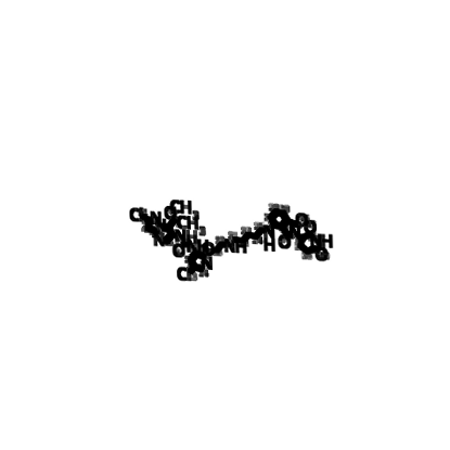 CO[C@@H](C)c1c(NC(=O)Nc2cc(Cl)cnc2OCCNCCCCCNc2cccc3c2C(=O)N(C2CCC(=O)NC2=O)C3=O)cnc2cc(Cl)nn12